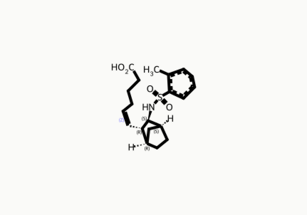 Cc1ccccc1S(=O)(=O)N[C@H]1[C@H]2CC[C@H](C2)[C@@H]1/C=C\CCCC(=O)O